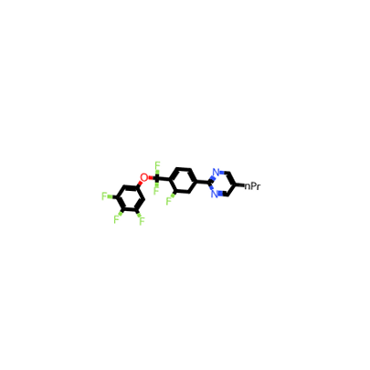 CCCc1cnc(C2=CC=C(C(F)(F)Oc3cc(F)c(F)c(F)c3)C(F)C2)nc1